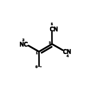 [CH2]C(C#N)=C(C#N)C#N